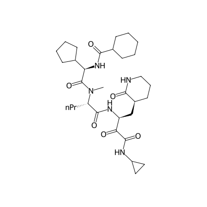 CCC[C@@H](C(=O)N[C@@H](C[C@@H]1CCCNC1=O)C(=O)C(=O)NC1CC1)N(C)C(=O)[C@H](NC(=O)C1CCCCC1)C1CCCC1